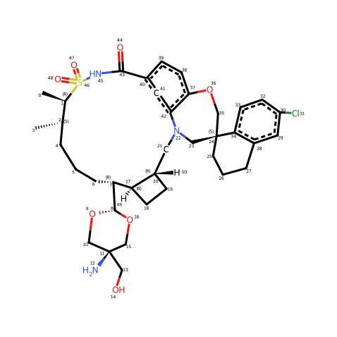 C[C@@H]1[C@@H](C)CCC[C@@H]([C@H]2OC[C@@](N)(CO)CO2)[C@@H]2CC[C@H]2CN2C[C@@]3(CCCc4cc(Cl)ccc43)COc3ccc(cc32)C(=O)NS1(=O)=O